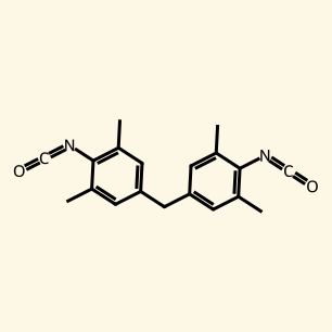 Cc1cc(Cc2cc(C)c(N=C=O)c(C)c2)cc(C)c1N=C=O